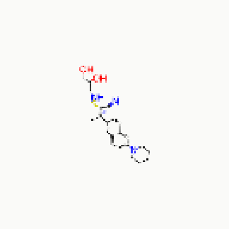 C/C(=C(/C#N)SNCC(O)CO)c1ccc2cc(N3CCCCC3)ccc2c1